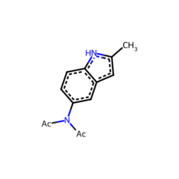 CC(=O)N(C(C)=O)c1ccc2[nH]c(C)cc2c1